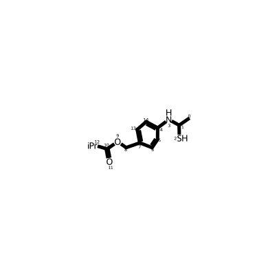 CC(S)Nc1ccc(COC(=O)C(C)C)cc1